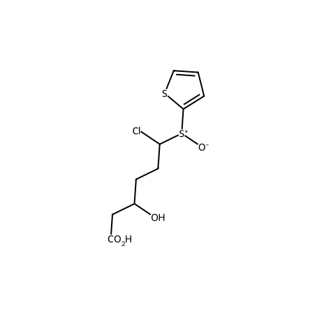 O=C(O)CC(O)CCC(Cl)[S+]([O-])c1cccs1